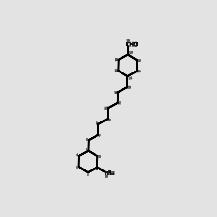 CCCCC1CCCC(CCCCCCCCC2CCC(C=O)CC2)C1